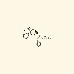 CCOC(=O)C(CN1C2CCC1CC1(C2)OCCc2ccccc21)Cn1cccn1